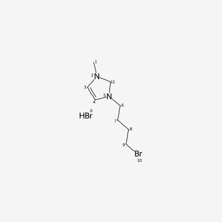 Br.CN1C=CN(CCCCBr)C1